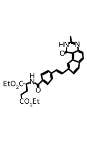 CCOC(=O)CC[C@@H](NC(=O)c1ccc(C=Cc2ccc3ccc4nc(C)[nH]c(=O)c4c3c2)cc1)C(=O)OCC